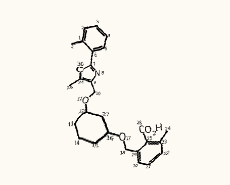 Cc1ccccc1-c1nc(COC2CCCC(OCc3cccc(C)c3C(=O)O)C2)c(C)o1